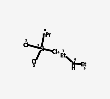 CCC[Si](Cl)(Cl)Cl.CCNCC